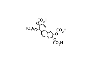 O=C(O)Oc1cc2ccc3c(OC(=O)O)c(OC(=O)O)ccc3c2cc1OC(=O)O